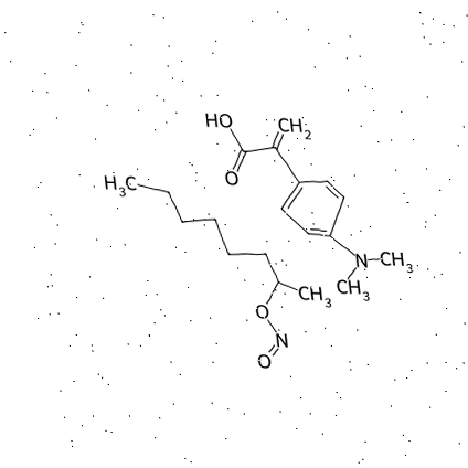 C=C(C(=O)O)c1ccc(N(C)C)cc1.CCCCCCC(C)ON=O